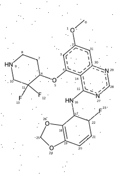 COc1cc(OC2CCNCC2(F)F)c2c(NC3C4=C(C=CC3F)OCO4)ncnc2c1